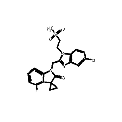 CS(=O)(=O)CCn1c(CN2C(=O)C3(CC3)c3c(F)cccc32)nc2cc(Cl)ccc21